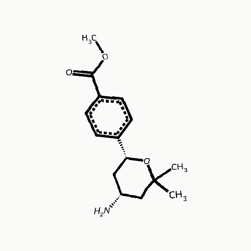 COC(=O)c1ccc([C@H]2C[C@@H](N)CC(C)(C)O2)cc1